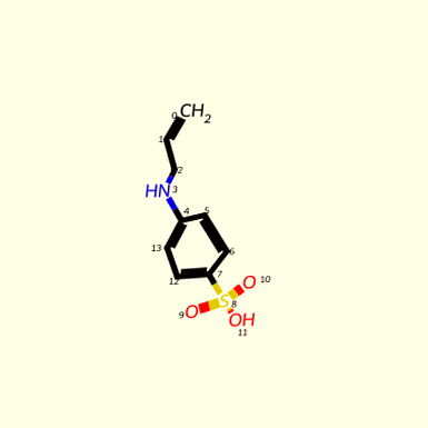 C=CCNc1ccc(S(=O)(=O)O)cc1